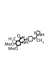 COc1cc2[nH]c(N3CCN(C(C)C4=NCCN4)CC3)nc(=O)c2c(C)c1OC